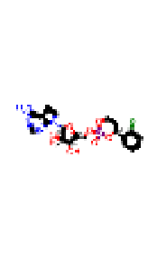 C[C@@]1(O)[C@H](O)[C@@H](COP2(=O)OCC[C@@H](c3ccccc3Br)O2)O[C@H]1n1ccc2c(N)ncnc21